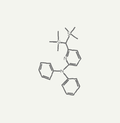 C[Si](C)(C)C(c1cccc(N(c2ccccc2)c2ccccc2)n1)[Si](C)(C)C